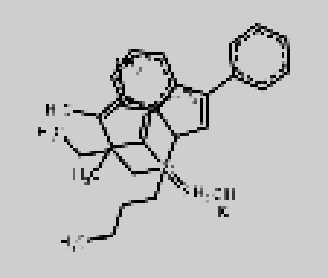 CCC[CH2][Zr](=[SiH2])([CH2]CCC)([C]1=C(C)C(C)=C(C)C1C)[CH]1C=C(c2ccccc2)c2ccccc21.Cl.Cl